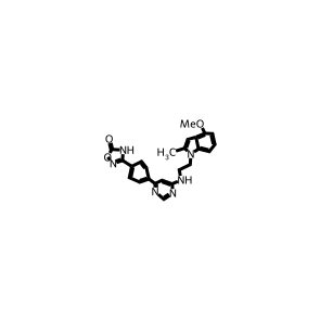 COc1cccc2c1cc(C)n2CCNc1cc(-c2ccc(-c3noc(=O)[nH]3)cc2)ncn1